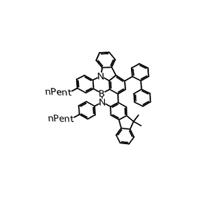 CCCCCc1ccc(N2B3c4cc(CCCCC)ccc4-n4c5ccccc5c5c(-c6ccccc6-c6ccccc6)cc(c3c54)-c3cc4c(cc32)-c2ccccc2C4(C)C)cc1